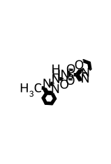 Cc1nc(NC(=O)NS(=O)(=O)c2cnn3c2OCCC3)nc2c1CCCC2